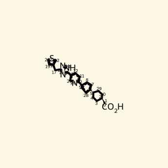 O=C(O)C[C@H]1CC[C@H](c2ccc(-c3ccc(-c4nc(Cc5ccsc5)n[nH]4)cn3)cc2)CC1